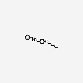 CCCCCCOc1ccc(C=NN=Cc2ccccc2)cc1